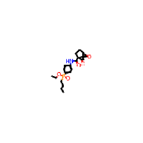 CCCCP(=O)(OCC)c1ccc(NC(=O)C23CCC(C(=O)C2=O)C3(C)C)cc1